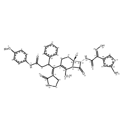 COc1ccc(NC(=O)CC(C(=C2CCNC2=O)C2=C(C(=O)O)N3C(=O)[C@@H](NC(=O)C(=NO)c4csc(N)n4)[C@H]3SC2)c2ccncc2)cc1